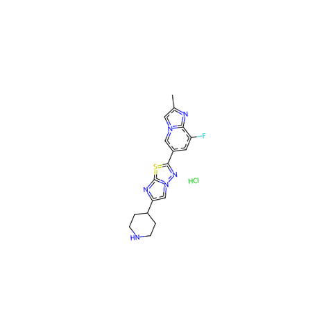 Cc1cn2cc(-c3nn4cc(C5CCNCC5)nc4s3)cc(F)c2n1.Cl